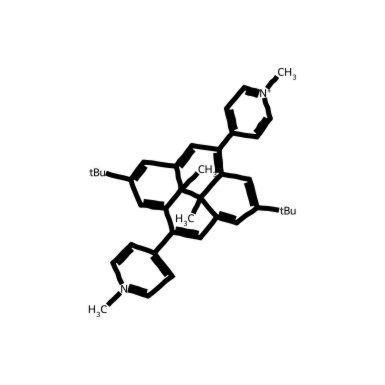 C[n+]1ccc(C2=CC3=CC(C(C)(C)C)=CC4=C(c5cc[n+](C)cc5)C=C5C=C(C(C)(C)C)C=C2C5(C)C34C)cc1